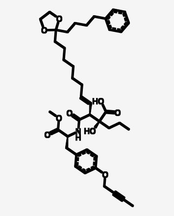 CC#CCOc1ccc(C[C@H](NC(=O)[C@@H](C=CCCCCCCC2(CCCCc3ccccc3)OCCO2)[C@@](O)(CCC)C(=O)O)C(=O)OC)cc1